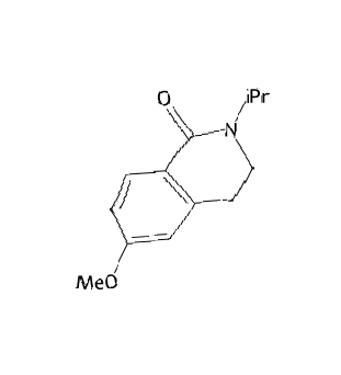 COc1ccc2c(c1)CCN(C(C)C)C2=O